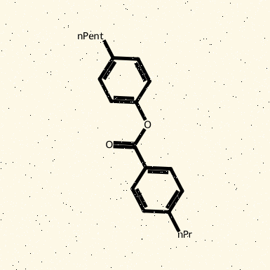 CCCCCc1ccc(OC(=O)c2ccc(CCC)cc2)cc1